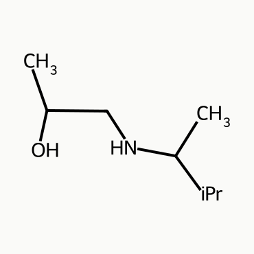 CC(O)CNC(C)C(C)C